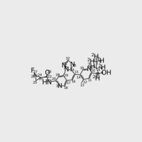 [2H]C([2H])([2H])C([2H])([2H])[C@@]([2H])(O)c1cc(C)c(-c2cc3cnc(NC(=O)[C@H]4C[C@H]4F)cc3n3ncnc23)cn1